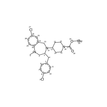 CN1CC(Cc2ccc(Cl)cc2)N(C2CCN(C(=O)OC(C)(C)C)CC2)Cc2cc(Cl)ccc21